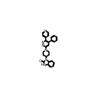 O=c1[nH]c2ccccc2n1C1CCN(c2cc(-c3ccccc3)c(-c3ccncc3)nn2)CC1